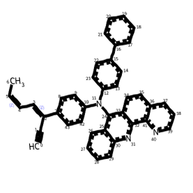 C#C/C(=C\C=C/C)c1ccc(N(c2ccc(-c3ccccc3)cc2)c2c3ccccc3nc3c2ccc2cccnc23)cc1